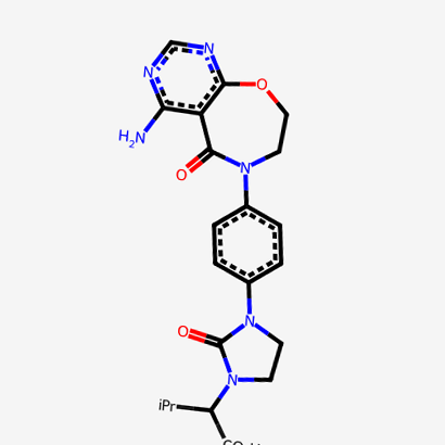 CC(C)C(C(=O)O)N1CCN(c2ccc(N3CCOc4ncnc(N)c4C3=O)cc2)C1=O